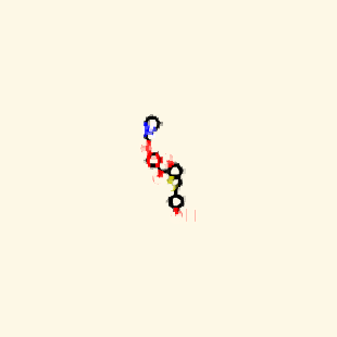 O=C(c1ccc(OCCN2CCCCC2)cc1)c1c(O)ccc2cc(-c3ccc(O)cc3)sc12